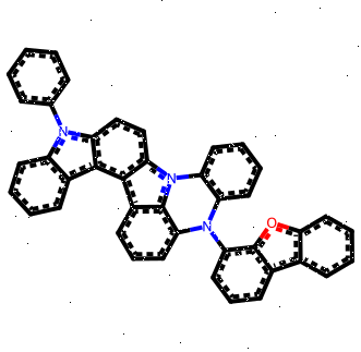 c1ccc(-n2c3ccccc3c3c4c5cccc6c5n(c4ccc32)-c2ccccc2N6c2cccc3c2oc2ccccc23)cc1